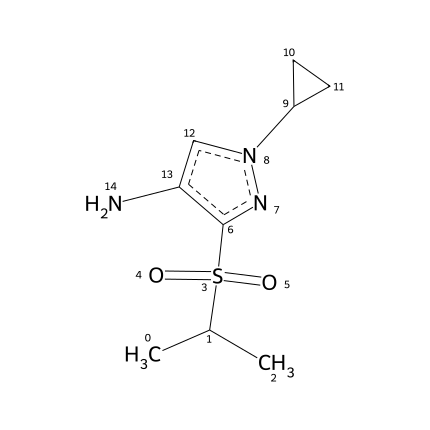 CC(C)S(=O)(=O)c1nn(C2CC2)cc1N